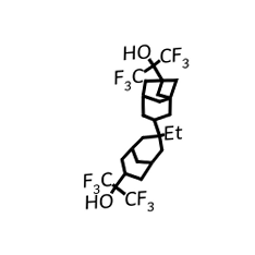 CCC1(C2CC3CC4(C2)CC(C(O)(C(F)(F)F)C(F)(F)F)(C3)C4)CC2CC(CC(C(O)(C(F)(F)F)C(F)(F)F)C2)C1